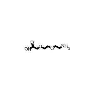 NCCOCCOCC(=O)N=O